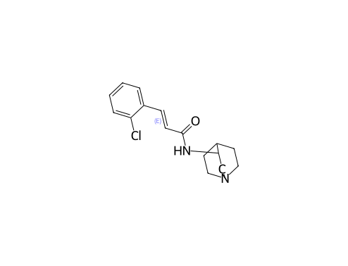 O=C(/C=C/c1ccccc1Cl)NC1CN2CCC1CC2